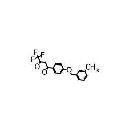 Cc1cccc(COc2ccc(C(=O)CC(=O)C(F)(F)F)cc2)c1